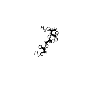 C=CC(=O)OCC(=O)OC1C(=O)OCC1C